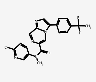 CN(C(=O)c1cn2c(-c3ccc(C(C)(F)F)cc3)cnc2cn1)c1ccc(Cl)nc1